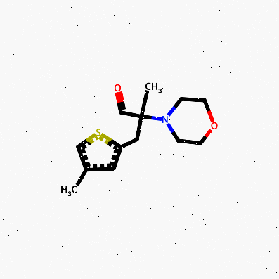 Cc1csc(CC(C)(C=O)N2CCOCC2)c1